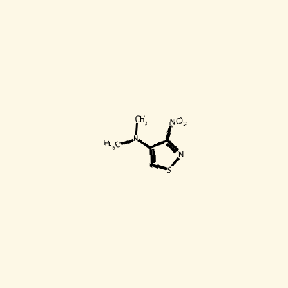 CN(C)c1csnc1[N+](=O)[O-]